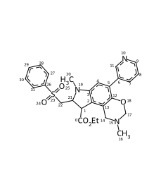 CCOC(=O)C1c2c(cc(-c3cccnc3)c3c2CN(C)CO3)N(C)C1CS(=O)(=O)c1ccccc1